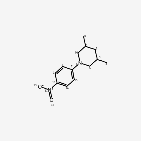 CC1CC(C)CN(c2ccc([N+](=O)[O-])cc2)C1